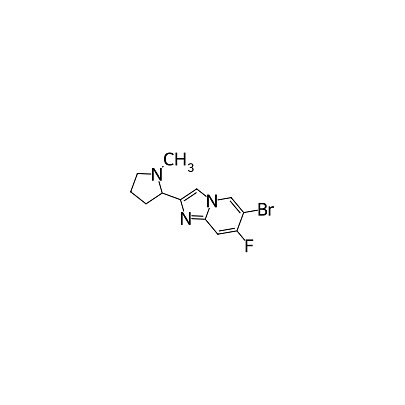 CN1CCCC1c1cn2cc(Br)c(F)cc2n1